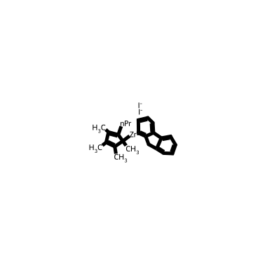 CCCC1=C(C)C(C)=C(C)[C]1(C)[Zr+2][c]1cccc2c1Cc1ccccc1-2.[I-].[I-]